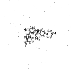 C[C@H](Nc1ncc(C#N)c(-c2cnc3c(CF)cccn23)n1)c1ccc(C2CCNCC2)cc1